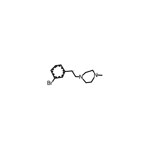 CN1CCN(C[CH]c2cccc(Br)c2)CC1